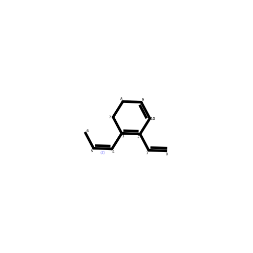 C=CC1=C(/C=C\C)CCC=C1